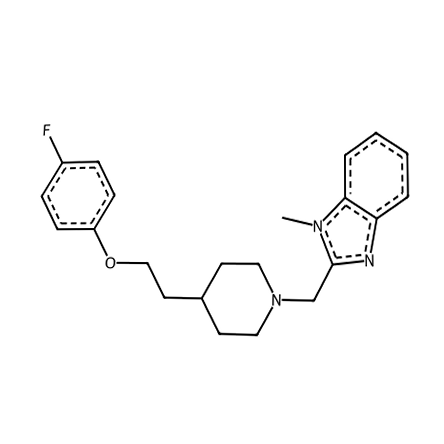 Cn1c(CN2CCC(CCOc3ccc(F)cc3)CC2)nc2ccccc21